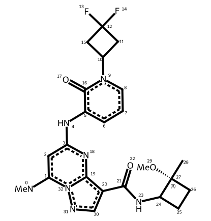 CNc1cc(Nc2cccn(C3CC(F)(F)C3)c2=O)nc2c(C(=O)NC3CC[C@@]3(C)OC)cnn12